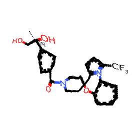 C[C@@](O)(CO)c1ccc(C(=O)N2CCC3(CC2)Oc2ccccc2-n2c(C(F)(F)F)ccc23)cc1